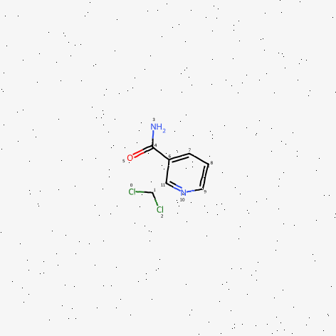 ClCCl.NC(=O)c1cccnc1